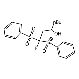 CCCCC(O)CC(F)(S(=O)(=O)c1ccccc1)S(=O)(=O)c1ccccc1